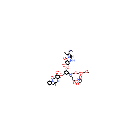 C=CC1=C(/C=C\C)C[C@H]2CNc3cc(OCc4cc(COc5cc6c(cc5OC)C(=O)N5c7ccccc7C[C@H]5C=N6)cc(N(CCCC(=O)ON5C(=O)CCC5=O)CCOCCOCCOC)c4)c(OC)cc3C(=O)N12